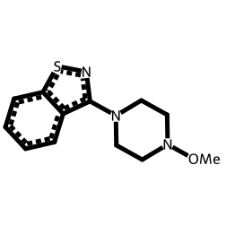 CON1CCN(c2nsc3ccccc23)CC1